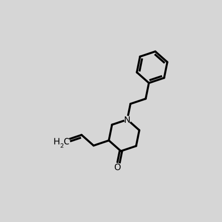 C=CCC1CN(CCc2ccccc2)CCC1=O